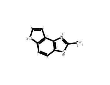 Cc1nc2c(ccc3occc32)s1